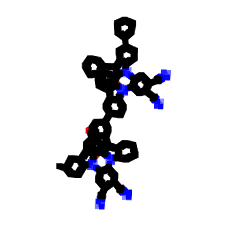 Cc1ccc2c(c1)c1cc(C)ccc1n2-c1cc(C#N)c(C#N)cc1-n1c2ccccc2c2c3cc(-c4ccc5c(c4)c4ccccc4n5-c4cc(C#N)c(C#N)cc4-n4c5ccc(-c6ccccc6)cc5c5c6ccccc6ccc54)ccc3ccc21